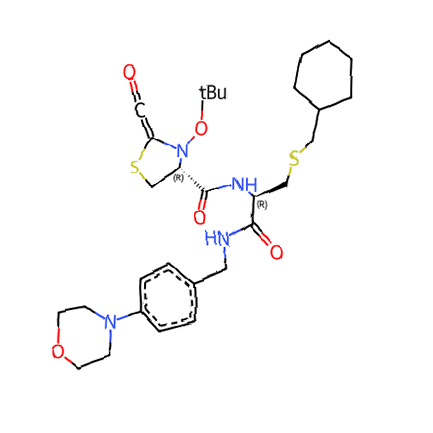 CC(C)(C)ON1C(=C=O)SC[C@H]1C(=O)N[C@@H](CSCC1CCCCC1)C(=O)NCc1ccc(N2CCOCC2)cc1